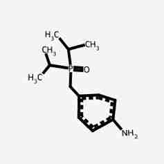 CC(C)P(=O)(Cc1ccc(N)cc1)C(C)C